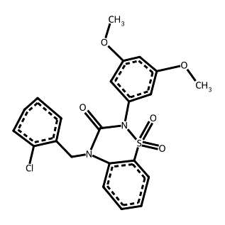 COc1cc(OC)cc(N2C(=O)N(Cc3ccccc3Cl)c3ccccc3S2(=O)=O)c1